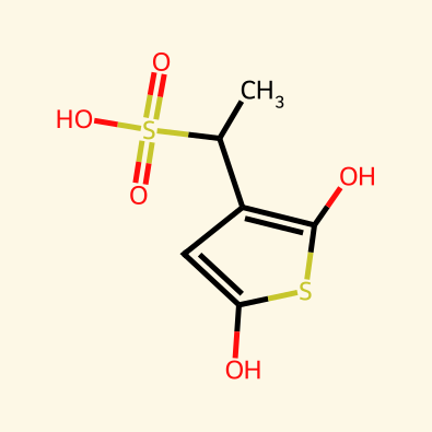 CC(c1cc(O)sc1O)S(=O)(=O)O